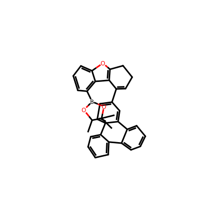 CC1OB(c2cccc3oc4c(c23)C(c2ccc3c5ccccc5c5ccccc5c3c2)=CCC4)OC1(C)C